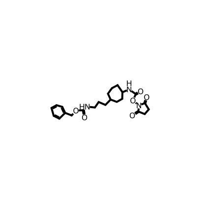 O=C(NCCCC1CCCC(NC(=O)ON2C(=O)CCC2=O)CC1)OCc1ccccc1